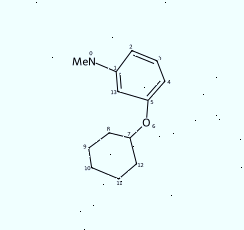 CNc1cccc(OC2CCCCC2)c1